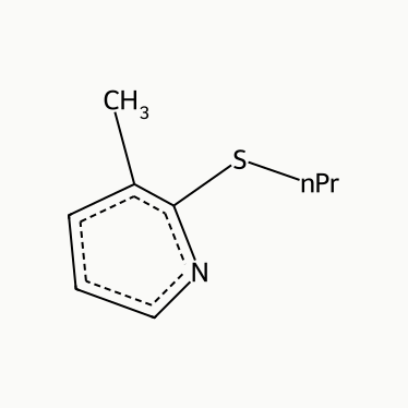 CCCSc1ncccc1C